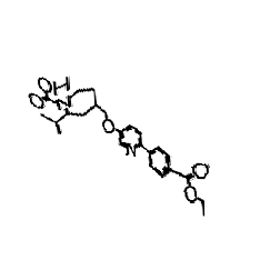 CCOC(=O)c1ccc(-c2ccc(OCC3CCN(C(=O)O)C(C(C)C)C3)cn2)cc1